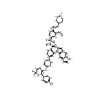 CN1CCC(CNc2ccc(S(=O)(=O)NC(=O)c3ccc(N4CCN(CC5=C(c6ccc(Cl)cc6)CC(C)(C)CC5)CC4)cc3-n3ncc4nc5[nH]ccc5cc43)cc2N=O)CC1